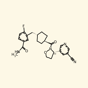 CNC(=O)c1ccc(F)c(C[C@H]2CC[C@H](C(=O)N3OCC[C@H]3c3cncc(C#N)c3)CC2)c1